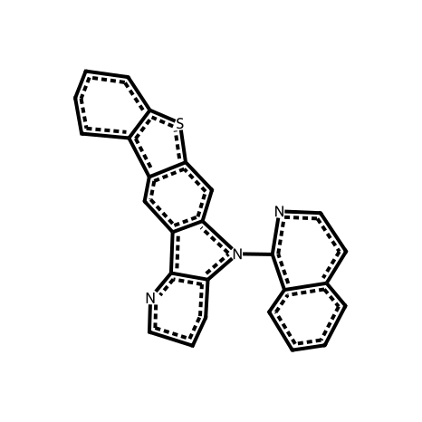 c1ccc2c(-n3c4cc5sc6ccccc6c5cc4c4ncccc43)nccc2c1